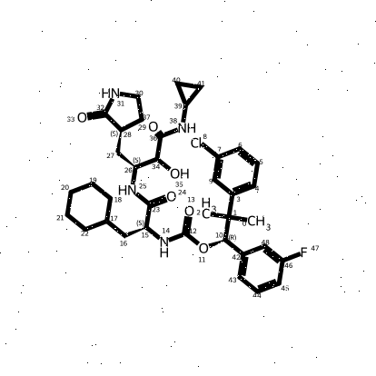 CC(C)(c1cccc(Cl)c1)[C@H](OC(=O)N[C@@H](CC1CCCCC1)C(=O)N[C@@H](C[C@@H]1CCNC1=O)C(O)C(=O)NC1CC1)c1cccc(F)c1